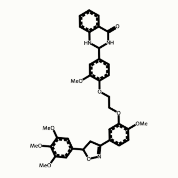 COc1cc(C2NC(=O)c3ccccc3N2)ccc1OCCOc1cc(C2=NOC(c3cc(OC)c(OC)c(OC)c3)C2)ccc1OC